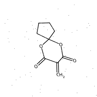 C=C1C(=O)OC2(CCCC2)OC1=O